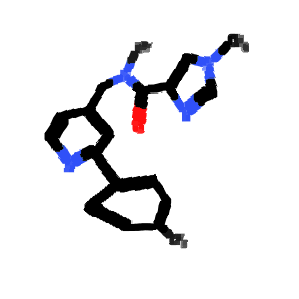 CC(C)N(Cc1ccnc(-c2ccc(C(F)(F)F)cc2)c1)C(=O)c1cn(C)cn1